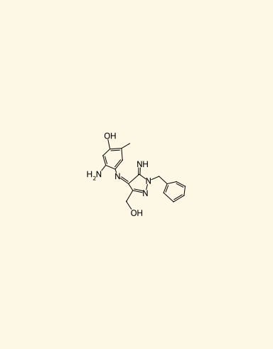 Cc1cc(N=C2C(=N)N(Cc3ccccc3)N=C2CO)c(N)cc1O